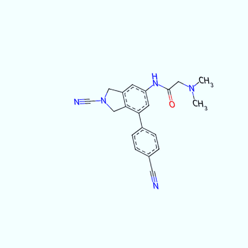 CN(C)CC(=O)Nc1cc2c(c(-c3ccc(C#N)cc3)c1)CN(C#N)C2